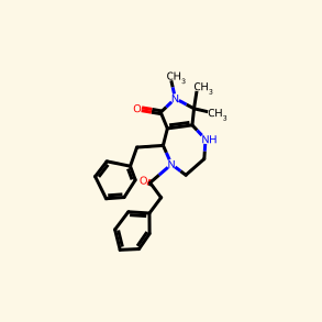 CN1C(=O)C2=C(NCCN(C(=O)Cc3ccccc3)C2Cc2ccccc2)C1(C)C